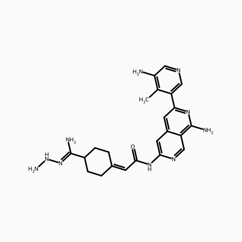 Cc1c(N)cncc1-c1cc2cc(NC(=O)C=C3CCC(/C(N)=N/NN)CC3)ncc2c(N)n1